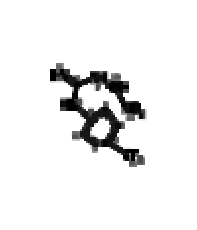 N=C(N)Nc1ccc(C(F)(F)F)cc1.O=[N+]([O-])O